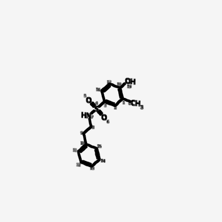 Cc1cc(S(=O)(=O)NCCc2ccccc2)ccc1O